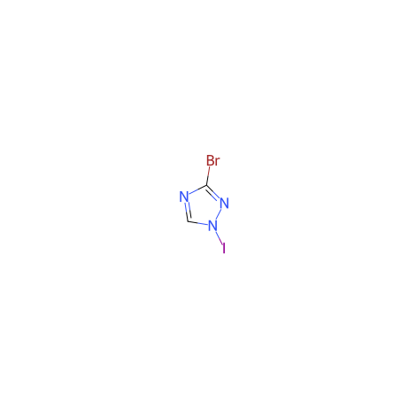 Brc1ncn(I)n1